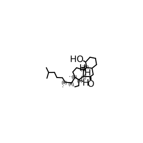 CC(C)CCC[C@@H](C)[C@H]1CC[C@H]2[C@@H]3C(=O)CC4CCCC(O)[C@]4(C)[C@H]3CC[C@]12C